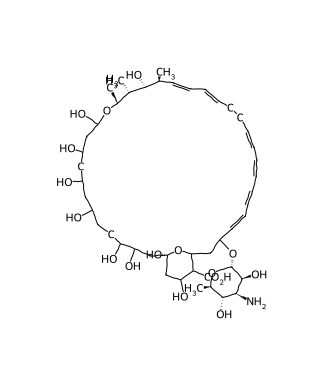 C[C@@H]1[C@H](O)[C@@H](C)/C=C/C=C/CC/C=C/C=C/C=C/C=C/C(O[C@H]2O[C@H](C)[C@@H](O)[C@H](N)[C@@H]2O)CC2O[C@](O)(CC(O)C(O)CCC(O)CC(O)CC(O)CC(O)O[C@H]1C)CC(O)C2C(=O)O